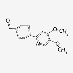 COc1cnc(-c2ccc(C=O)cc2)cc1OC